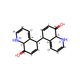 O=C1C=CC(C2C=CC(=O)C3NC=CC=C32)C2=CC=CNC12